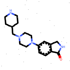 O=C1NCc2cc(N3CCN(CC4CCNCC4)CC3)ccc21